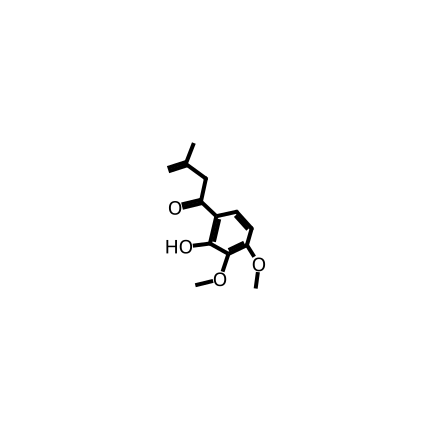 C=C(C)CC(=O)c1ccc(OC)c(OC)c1O